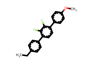 CCc1ccc(-c2ccc(-c3ccc(OC)cc3)c(F)c2F)cc1